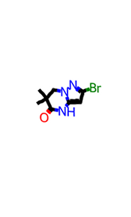 CC1(C)Cn2nc(Br)cc2NC1=O